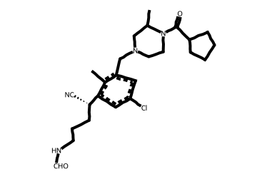 Cc1c(CN2CCN(C(=O)C3CCCC3)C(C)C2)cc(Cl)cc1[C@@H](C#N)CCCNC=O